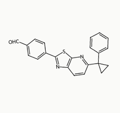 O=Cc1ccc(-c2nc3ccc(C4(c5ccccc5)CC4)nc3s2)cc1